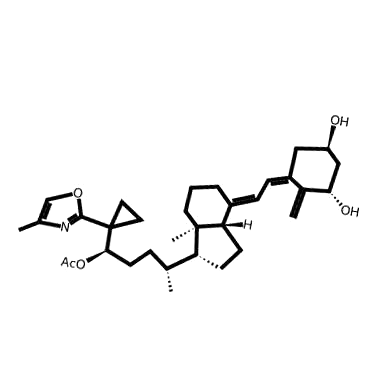 C=C1/C(=C\C=C2/CCC[C@]3(C)[C@@H]([C@H](C)CC[C@@H](OC(C)=O)C4(c5nc(C)co5)CC4)CC[C@@H]23)C[C@@H](O)C[C@@H]1O